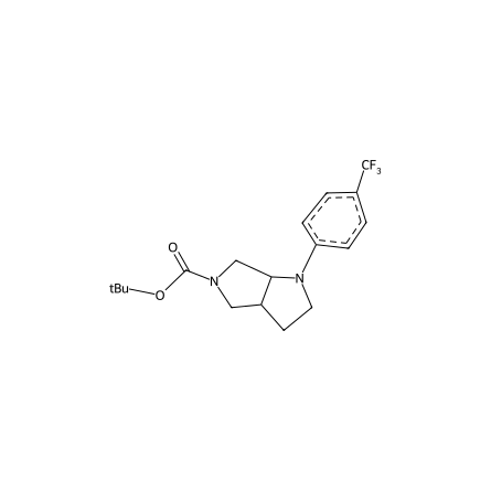 CC(C)(C)OC(=O)N1CC2CCN(c3ccc(C(F)(F)F)cc3)C2C1